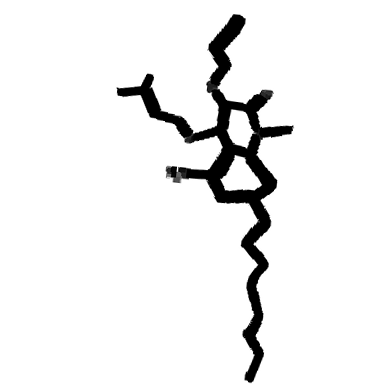 C=CCOc1c(OCC=C(C)C)c2c(N)cc(CCCCCCCC)cc2n(C)c1=O